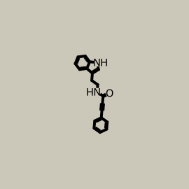 O=C(C#Cc1ccccc1)NCCc1c[nH]c2ccccc12